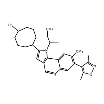 COCC(C)n1c(C2CCCC(C(C)C)CCC2)cc2cnc3cc(-c4c(C)noc4C)c(OC)cc3c21